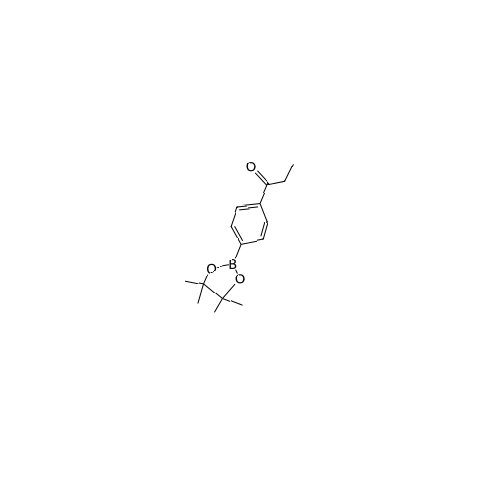 CCC(=O)c1ccc(B2OC(C)(C)C(C)(C)O2)cc1